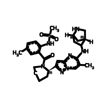 Cc1ccc(NS(C)(=O)=O)c(C(=O)N2CCCC[C@H]2c2cc3nc(NC4C[C@H]5C[C@@H]4CN5)c(C)cn3n2)c1